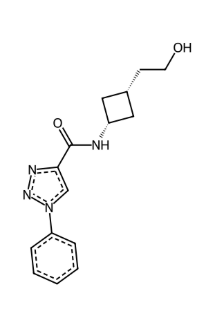 O=C(N[C@H]1C[C@@H](CCO)C1)c1cn(-c2ccccc2)nn1